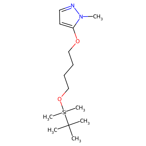 Cn1nccc1OCCCCO[Si](C)(C)C(C)(C)C